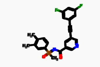 Cc1ccc(S(C)(=O)=NC(=O)c2cncc(C#Cc3cc(F)cc(F)c3)c2)cc1C